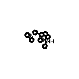 c1ccc(C2Nc3ccc4ccc5cc(-c6cccc(-n7c8ccccc8c8ccccc87)c6)ccc5c4c3N2c2ccccc2)cc1